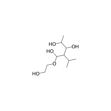 CC(C)C(C(O)OCCO)C(O)C(C)O